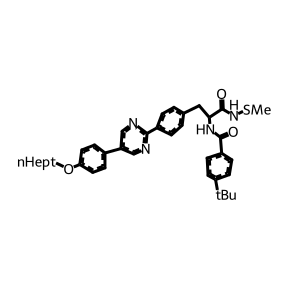 CCCCCCCOc1ccc(-c2cnc(-c3ccc(CC(NC(=O)c4ccc(C(C)(C)C)cc4)C(=O)NSC)cc3)nc2)cc1